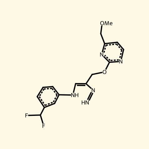 COCc1ccnc(OC/C(=C/Nc2cccc(C(F)F)c2)N=N)n1